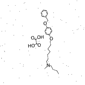 CCCCN(C)CCCCCCCOc1ccc(OCc2ccccc2)cc1.O=C(O)C(=O)O